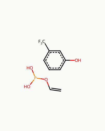 C=COP(O)O.Oc1cccc(C(F)(F)F)c1